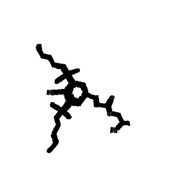 CCCCCC(C)(C)c1cc(CCC(=O)OCC(C)S)cc(C(C)(C)CCCCC)c1O